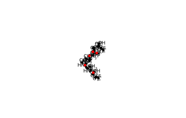 CCc1[nH]cc[n+]1C.CCc1[nH]cc[n+]1C.CCc1[nH]cc[n+]1C.O=C(O)C(=O)OC(=O)C(F)F.O=C(O)C(=O)OC(=O)C(F)F.O=C(O)C(=O)OC(=O)C(F)F.[O-]B([O-])[O-]